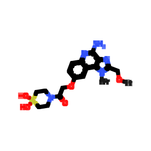 CCCn1c(COCC)nc2c(N)nc3ccc(OCC(=O)N4CCS(O)(O)CC4)cc3c21